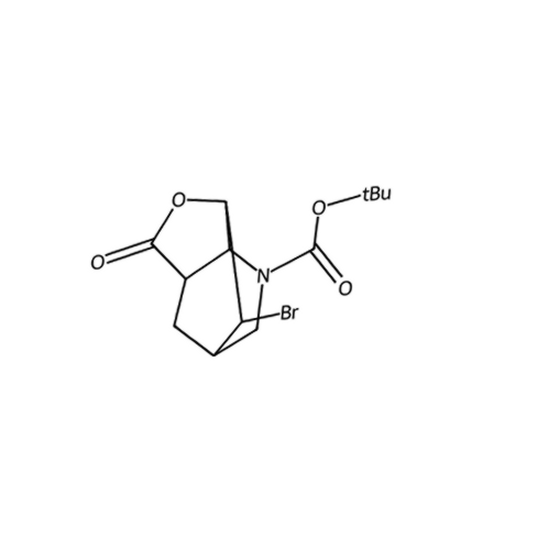 CC(C)(C)OC(=O)N1CC2CC3C(=O)OC(C2Br)C31